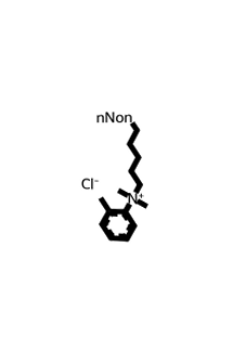 CCCCCCCCCCCCCC[N+](C)(C)c1ccccc1C.[Cl-]